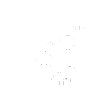 CC(=O)NC1CCCC(Nc2cc(Cl)cc(-c3c[nH]c4ncccc34)n2)C1